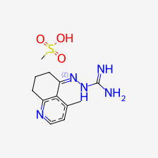 CS(=O)(=O)O.Cc1ccnc2c1/C(=N\NC(=N)N)CCC2